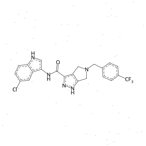 O=C(Nc1c[nH]c2ccc(Cl)cc12)c1n[nH]c2c1CN(Cc1ccc(C(F)(F)F)cc1)C2